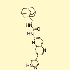 O=C(NCC12CC3CC(CC(C3)C1)C2)Nc1ccc2ncc(-c3cn[nH]c3)cc2n1